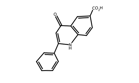 O=C(O)c1ccc2[nH]c(-c3ccccc3)cc(=O)c2c1